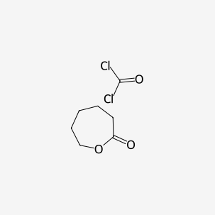 O=C(Cl)Cl.O=C1CCCCCO1